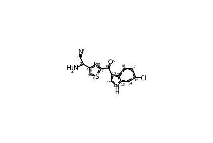 N#CC(N)c1csc(C(=O)c2c[nH]c3cc(Cl)ccc23)n1